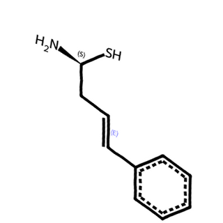 N[C@@H](S)C/C=C/c1ccccc1